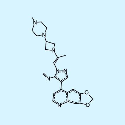 C=Nc1c(-c2ccnc3cc4c(cc23)OCO4)cnn1/C=C(\C)N1CC(N2CCN(C)CC2)C1